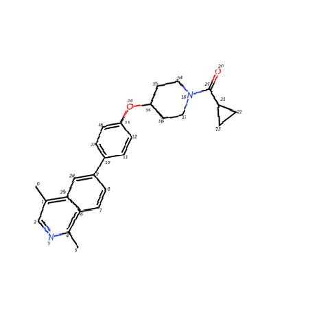 Cc1cnc(C)c2ccc(-c3ccc(OC4CCN(C(=O)C5CC5)CC4)cc3)cc12